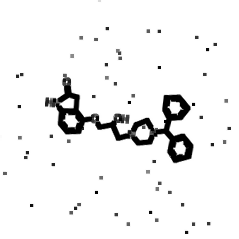 O=C1Cc2c(cccc2OCC(O)CN2CCN(C(c3ccccc3)c3ccccc3)CC2)N1